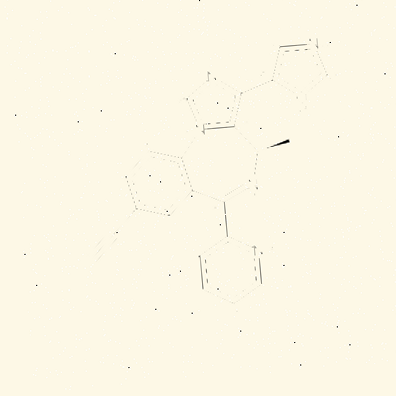 C#Cc1ccc2c(c1)C(c1ccccn1)=N[C@H](C)c1c(-c3cnco3)ncn1-2